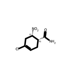 NC(=O)[C@@H]1CC=C(Cl)C[C@@H]1[N+](=O)[O-]